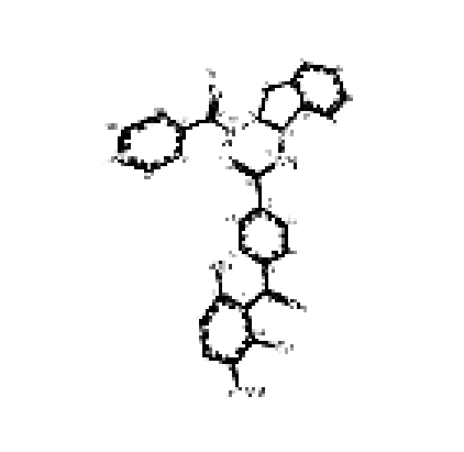 COc1ccc(O)c(C(=O)c2ccc(C(=O)N[C@@H]3c4ccccc4C[C@H]3NC(=O)c3ccncc3)cc2)c1F